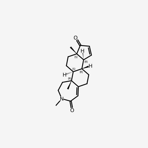 CN1CC[C@@]2(C)C(=CC1=O)CC[C@@H]1[C@@H]2CC[C@]2(C)C(=O)C=C[C@@H]12